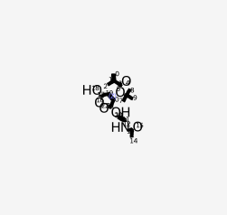 C=C(C)C(=O)OC(C)(C)C.C=CNC(C)=O.O=C(O)/C=C\C(=O)O